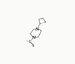 CS(=S)N1CCN(C2CCC2)CC1